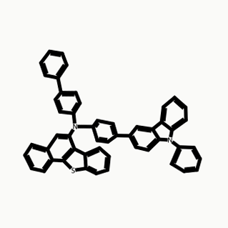 c1ccc(-c2ccc(N(c3ccc(-c4ccc5c(c4)c4ccccc4n5-c4ccccc4)cc3)c3cc4ccccc4c4sc5ccccc5c34)cc2)cc1